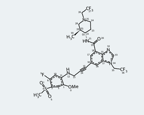 COc1cc(S(C)(=O)=O)c(F)cc1NCC#Cc1cc(C(=O)N[C@H]2CCN(CC(F)(F)F)C[C@@H]2C)c2ncn(CC(F)(F)F)c2c1